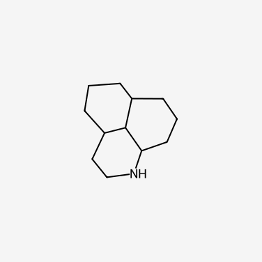 C1CC2CCCC3NCCC(C1)C23